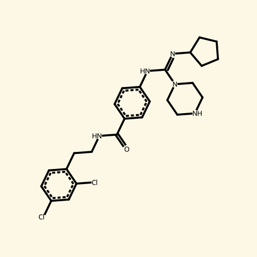 O=C(NCCc1ccc(Cl)cc1Cl)c1ccc(N/C(=N/C2CCCC2)N2CCNCC2)cc1